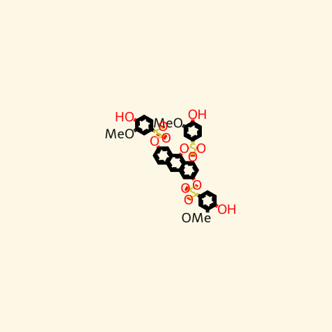 COc1cc(S(=O)(=O)Oc2ccc3c(OS(=O)(=O)c4ccc(O)c(OC)c4)c4cc(OS(=O)(=O)c5ccc(O)c(OC)c5)ccc4cc3c2)ccc1O